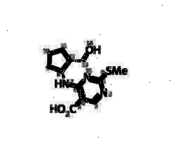 CSc1ncc(C(=O)O)c(N[C@@H]2CCC[C@@H]2CO)n1